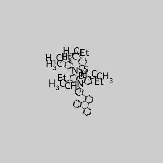 CCC(C)(C)c1ccc(N2c3cc(C(C)(C)CC)cc4c3B(c3cc(C(C)(C)CC)ccc3N4c3cccc(-c4cccc5c6ccccc6c6ccccc6c45)c3)c3sc4ccc(C(C)(C)CC)cc4c32)cc1